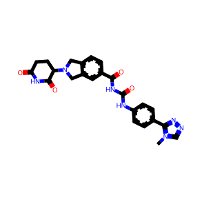 Cn1cnnc1-c1ccc(NC(=O)NC(=O)c2ccc3c(c2)CN(C2CCC(=O)NC2=O)C3)cc1